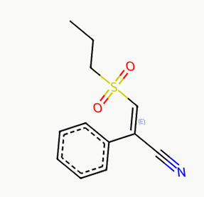 CCCS(=O)(=O)/C=C(/C#N)c1ccccc1